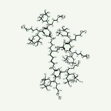 CCOCCCN(c1nc(NCCCCC(CCCNc2nc(N(CCCOCC)C3CC(C)(C)NC(C)(C)C3)nc(N(CCCOCC)C3CC(C)(C)NC(C)(C)C3)n2)CNc2nc(N(CCCOCC)C3CC(C)(C)NC(C)(C)C3)nc(N(CCCOCC)C3CC(C)(C)NC(C)(C)C3)n2)nc(N(CCCOCC)C2CC(C)(C)NC(C)(C)C2)n1)C1CC(C)(C)NC(C)(C)C1